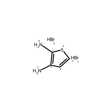 Br.Br.Nc1ccsc1N